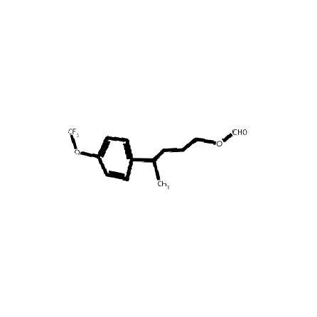 CC(CCCO[C]=O)c1ccc(OC(F)(F)F)cc1